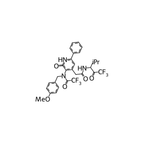 COc1ccc(CN(C(=O)C(F)(F)F)c2c(CC(=O)NC(C(=O)C(F)(F)F)C(C)C)cc(-c3ccccc3)[nH]c2=O)cc1